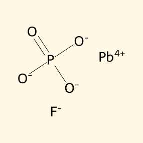 O=P([O-])([O-])[O-].[F-].[Pb+4]